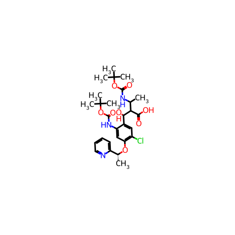 CC(NC(=O)OC(C)(C)C)C(C(=O)O)C(O)c1cc(Cl)c(O[C@H](C)c2ccccn2)cc1NC(=O)OC(C)(C)C